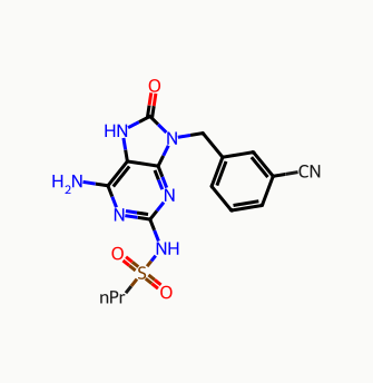 CCCS(=O)(=O)Nc1nc(N)c2[nH]c(=O)n(Cc3cccc(C#N)c3)c2n1